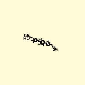 CCOOCCc1ccc(-c2ccc(C(CC)(CC)c3ccc(OCC(O)C(C)(C)C)c(C)c3)cc2C)nc1